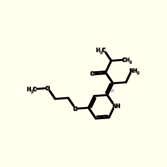 COCCOC1=C/C(=C(/CN)C(=O)C(C)C)NC=C1